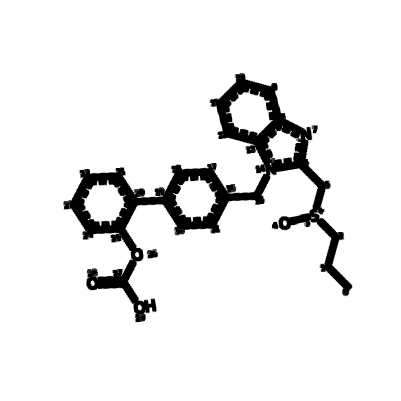 CCC[S+]([O-])Cc1nc2ccccc2n1Cc1ccc(-c2ccccc2OC(=O)O)cc1